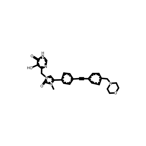 Cn1c(-c2ccc(C#Cc3ccc(CN4CCOCC4)cc3)cc2)cn(Cc2nc[nH]c(=O)c2O)c1=O